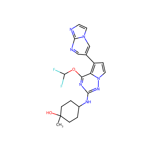 CC1(O)CCC(Nc2nc(OC(F)F)c3c(-c4cnc5nccn5c4)ccn3n2)CC1